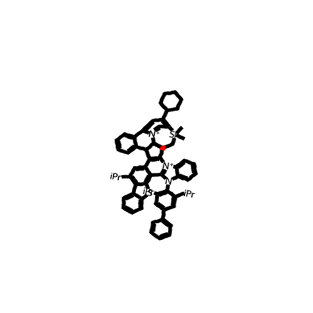 CC(C)c1cc(-c2ccccc2)cc(C(C)C)c1-n1c2ccccc2[n+]2c3c(c4cc(C(C)C)c5c6ccccc6sc5c4c12)C1c2ccccc2-c2cc(C4CCCCC4)c4c[n+]2C1(CC[Si]4(C)C)C3